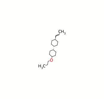 C/C=C/[C@H]1CC[C@H](C2CCC(OCCC)CC2)CC1